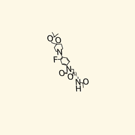 CC(=O)NC[C@H]1CN(c2ccc(N3CCC4(CC3)COC(C)(C)O4)c(F)c2)C(=O)O1